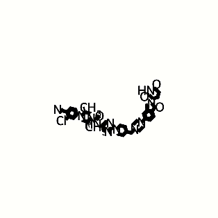 C[C@@H]1CN(c2ccc(C#N)c(Cl)c2)[C@@H](C)CN1C(=O)Nc1cnc(N2CCC(CN3CCN(c4ccc5c(c4)CN(C4CCC(=O)NC4=O)C5=O)CC3)CC2)nc1